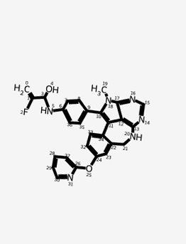 C=C(F)C(O)Nc1ccc(-c2c3c4c(ncnc4n2C)NCc2cc(Oc4ccccn4)ccc2-3)cc1